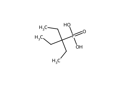 CCC(CC)(CC)P(=O)(O)O